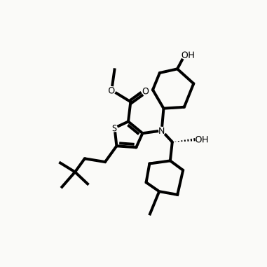 COC(=O)c1sc(CCC(C)(C)C)cc1N(C1CCC(O)CC1)[C@H](O)C1CCC(C)CC1